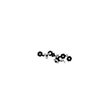 Nc1ncnc2c1c(-c1ccc(Oc3ccccc3)cc1)nn2C1CC2(CCCN(C(=O)OCc3ccccc3)C2)C1